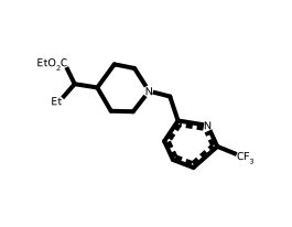 CCOC(=O)C(CC)C1CCN(Cc2cccc(C(F)(F)F)n2)CC1